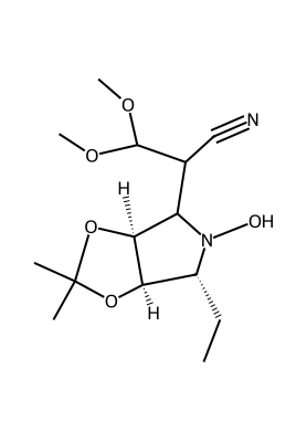 CC[C@@H]1[C@H]2OC(C)(C)O[C@H]2C(C(C#N)C(OC)OC)N1O